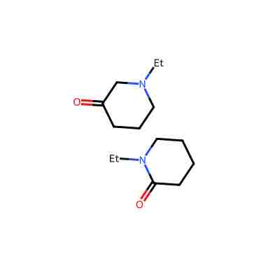 CCN1CCCC(=O)C1.CCN1CCCCC1=O